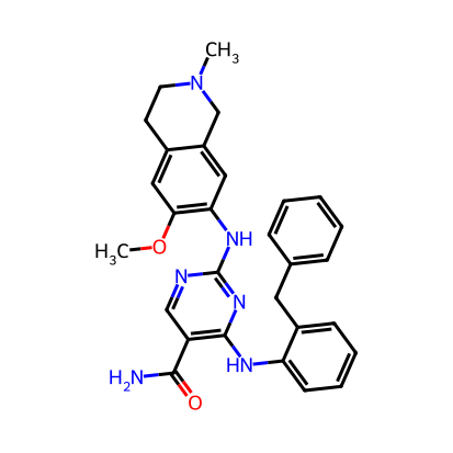 COc1cc2c(cc1Nc1ncc(C(N)=O)c(Nc3ccccc3Cc3ccccc3)n1)CN(C)CC2